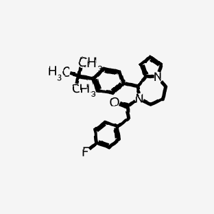 CC(C)(C)c1ccc(C2c3cccn3CCCN2C(=O)Cc2ccc(F)cc2)cc1